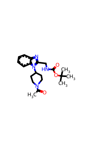 CC(=O)N1CCC(n2c(CNC(=O)OC(C)(C)C)nc3ccccc32)CC1